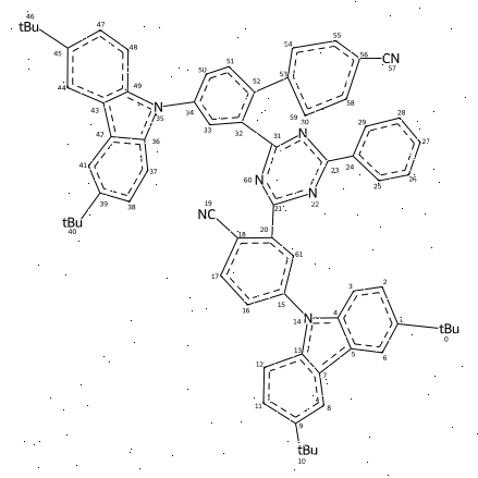 CC(C)(C)c1ccc2c(c1)c1cc(C(C)(C)C)ccc1n2-c1ccc(C#N)c(-c2nc(-c3ccccc3)nc(-c3cc(-n4c5ccc(C(C)(C)C)cc5c5cc(C(C)(C)C)ccc54)ccc3-c3ccc(C#N)cc3)n2)c1